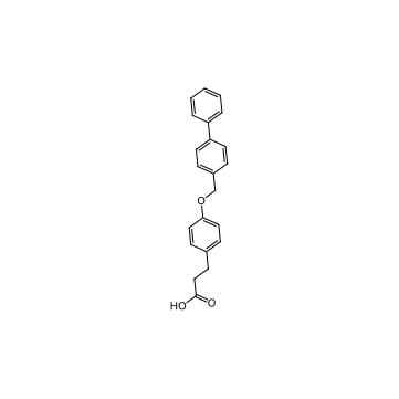 O=C(O)CCc1ccc(OCc2ccc(-c3ccccc3)cc2)cc1